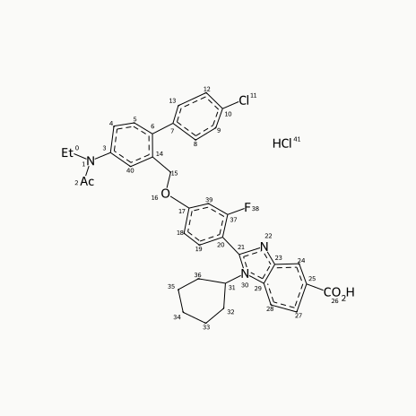 CCN(C(C)=O)c1ccc(-c2ccc(Cl)cc2)c(COc2ccc(-c3nc4cc(C(=O)O)ccc4n3C3CCCCC3)c(F)c2)c1.Cl